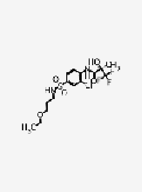 CCOCCCNS(=O)(=O)c1ccc(NC(=O)[C@@](C)(O)C(F)(F)F)c(Cl)c1